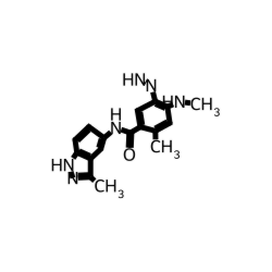 CNc1cc(C)c(C(=O)Nc2ccc3[nH]nc(C)c3c2)cc1N=N